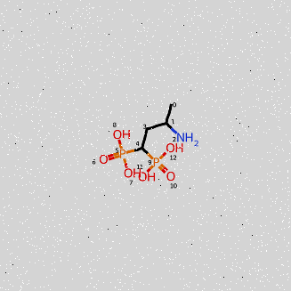 CC(N)CC(P(=O)(O)O)P(=O)(O)O